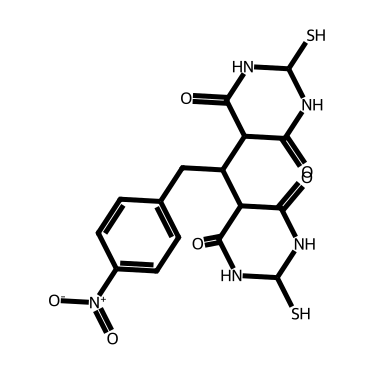 O=C1NC(S)NC(=O)C1C(Cc1ccc([N+](=O)[O-])cc1)C1C(=O)NC(S)NC1=O